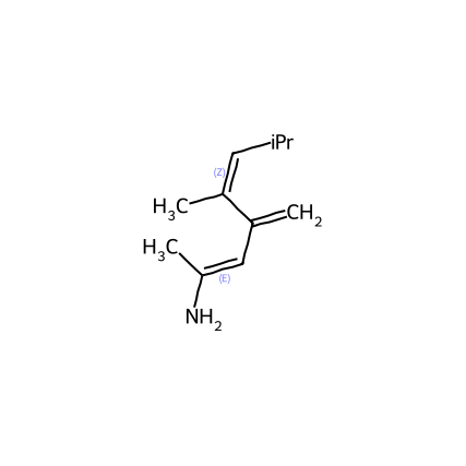 C=C(/C=C(\C)N)/C(C)=C\C(C)C